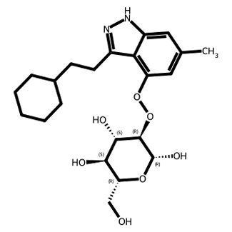 Cc1cc(OO[C@@H]2[C@@H](O)[C@H](O)[C@@H](CO)O[C@H]2O)c2c(CCC3CCCCC3)n[nH]c2c1